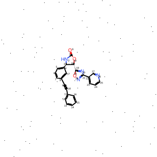 O=C1N[C@H](c2cccc(C#Cc3ccccc3)c2)[C@@H](c2nc(-c3cccnc3)no2)O1